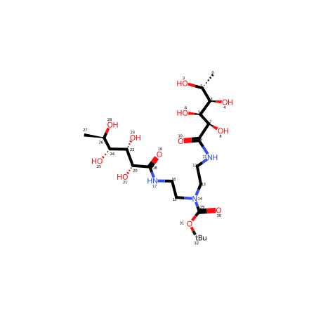 C[C@@H](O)[C@@H](O)[C@H](O)[C@@H](O)C(=O)NCCN(CCNC(=O)[C@H](O)[C@@H](O)[C@H](O)[C@@H](C)O)C(=O)OC(C)(C)C